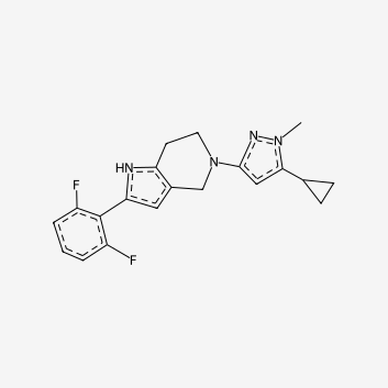 Cn1nc(N2CCc3[nH]c(-c4c(F)cccc4F)cc3C2)cc1C1CC1